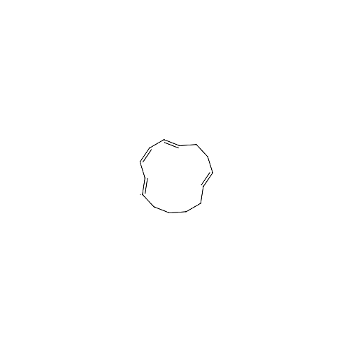 [C]1=C/C=C\C=C\CC/C=C/CCCC/1